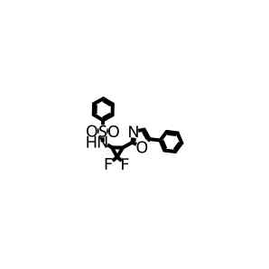 O=S(=O)(NC1C(c2ncc(-c3ccccc3)o2)C1(F)F)c1ccccc1